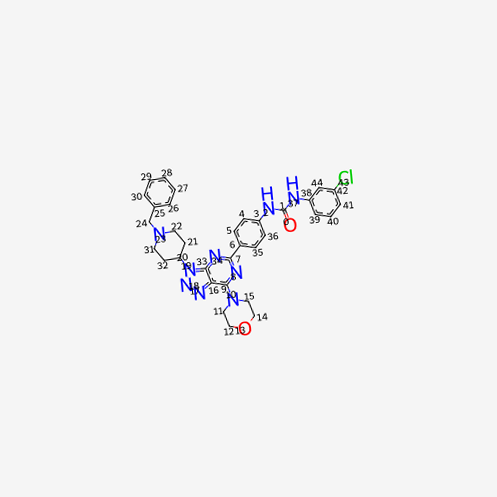 O=C(Nc1ccc(-c2nc(N3CCOCC3)c3nnn(C4CCN(Cc5ccccc5)CC4)c3n2)cc1)Nc1cccc(Cl)c1